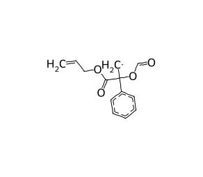 [CH2]C(OC=O)(C(=O)OCC=C)c1ccccc1